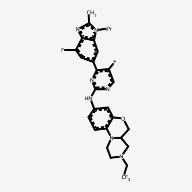 Cc1nc2c(F)cc(-c3nc(Nc4ccc5c(c4)OCC4CN(CC(F)(F)F)CCN54)ncc3F)cc2n1C(C)C